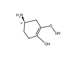 CCCOC1=C(O)CC[C@@H](N)C1